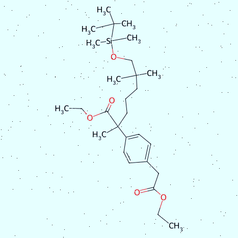 CCOC(=O)Cc1ccc(C(C)(CCCC(C)(C)CO[Si](C)(C)C(C)(C)C)C(=O)OCC)cc1